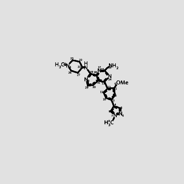 COc1cc(-c2cnn(C)c2)ccc1-c1nc(N)nc2c(NC3CCN(C)CC3)nccc12